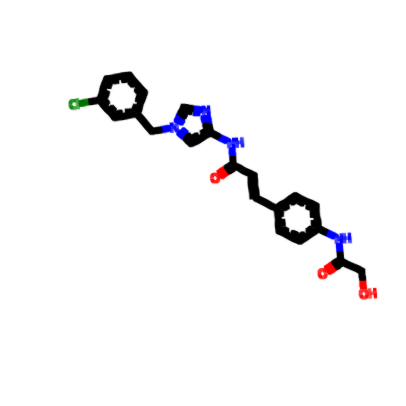 O=C(/C=C/c1ccc(NC(=O)CO)cc1)Nc1cn(Cc2cccc(Cl)c2)cn1